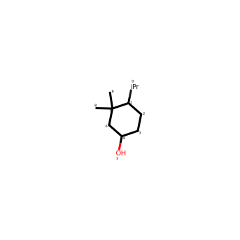 CC(C)C1CCC(O)CC1(C)C